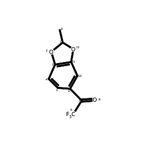 CC1Oc2ccc(C(=O)C(F)(F)F)cc2O1